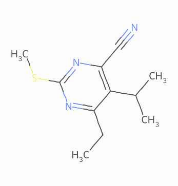 CCc1nc(SC)nc(C#N)c1C(C)C